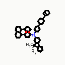 CC1(C)c2ccccc2-c2ccc(N(c3ccc(-c4ccc(C5CC6CCC5C6)cc4)cc3)c3ccc(-c4cccc5cccc(-c6ccccc6)c45)cc3)cc21